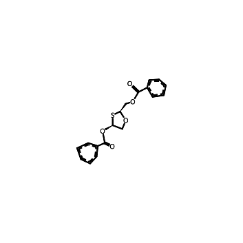 O=C(OC[C@H]1OC[C@@H](OC(=O)c2ccccc2)S1)c1ccccc1